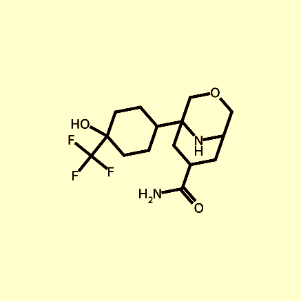 NC(=O)C1CC2COCC(C3CCC(O)(C(F)(F)F)CC3)(C1)N2